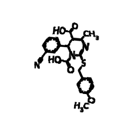 COc1ccc(CSC2=NC(C)=C(C(=O)O)C(c3cccc(C#N)c3)N2C(=O)O)cc1